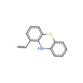 [CH]=Cc1[c]ccc2c1Nc1ccccc1S2